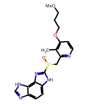 COCCCOc1ccnc(C[S+]([O-])c2nc3c(ccc4nc[nH]c43)[nH]2)c1C